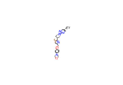 CCc1cnc(N2CCC(c3nc(COc4ccc(N5CCOCC5)cc4)cs3)CC2)nc1